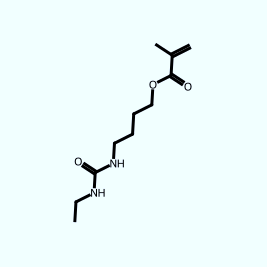 C=C(C)C(=O)OCCCCNC(=O)NCC